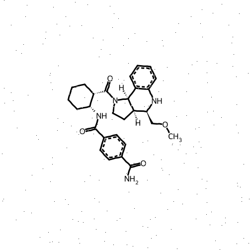 COC[C@@H]1Nc2ccccc2[C@H]2[C@@H]1CCN2C(=O)[C@H]1CCCC[C@H]1NC(=O)c1ccc(C(N)=O)cc1